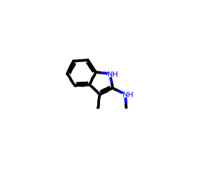 CNc1[nH]c2ccccc2c1C